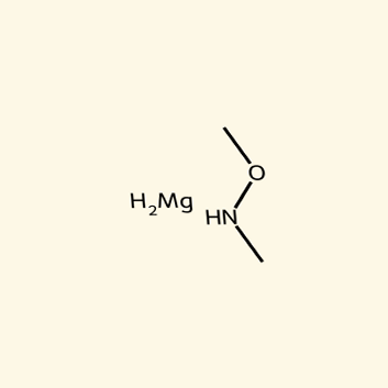 CNOC.[MgH2]